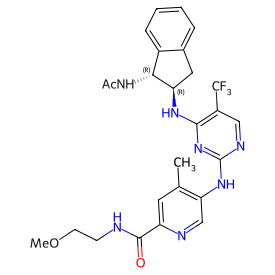 COCCNC(=O)c1cc(C)c(Nc2ncc(C(F)(F)F)c(N[C@@H]3Cc4ccccc4[C@H]3NC(C)=O)n2)cn1